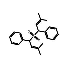 CC(C)=CC(c1ccccc1)S(=O)(=O)C(C=C(C)C)c1ccccc1